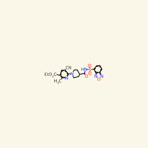 CCOC(=O)c1cc(C#N)c(N2CCC(C(=O)NS(=O)(=O)c3cccc4nonc34)CC2)nc1C